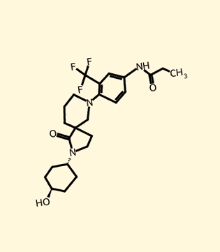 CCC(=O)Nc1ccc(N2CCCC3(CCN([C@H]4CC[C@H](O)CC4)C3=O)C2)c(C(F)(F)F)c1